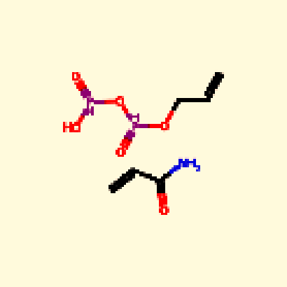 C=CC(N)=O.C=CCO[PH](=O)O[PH](=O)O